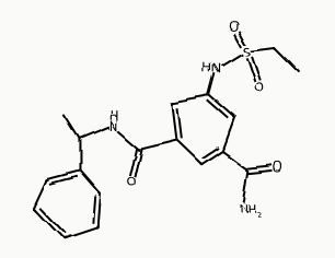 CCS(=O)(=O)Nc1cc(C(N)=O)cc(C(=O)NC(C)c2ccccc2)c1